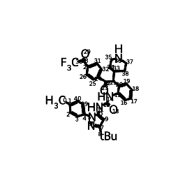 Cc1ccc(-n2nc(C(C)(C)C)cc2NC(=O)Nc2ccccc2C(C(=O)c2ccc(C(=O)C(F)(F)F)cc2)C2CCNCC2)cc1